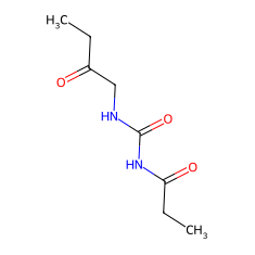 CCC(=O)CNC(=O)NC(=O)CC